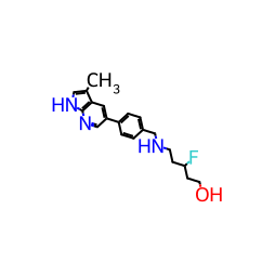 Cc1c[nH]c2ncc(-c3ccc(CNCCC(F)CCO)cc3)cc12